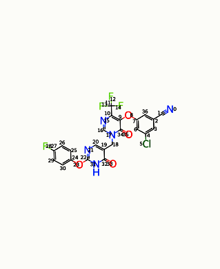 N#Cc1cc(Cl)cc(Oc2c(C(F)(F)F)ncn(Cc3cnc(Oc4ccc(F)cc4)[nH]c3=O)c2=O)c1